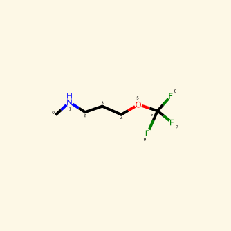 CNCCCOC(F)(F)F